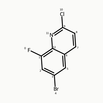 Fc1cc(Br)cc2ccc(Cl)nc12